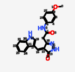 COc1ccc(NC(=O)CC2=NNC(=O)C2=Cc2c[nH]c3ccccc23)cc1